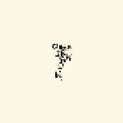 CCCn1c(=O)c(-c2ccccc2)cc2c(C)nc(Nc3ccc(N4CCN(CC)CC4)cc3)nc21